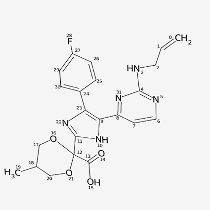 C=CCNc1nccc(-c2[nH]c(C3(C(=O)O)OCC(C)CO3)nc2-c2ccc(F)cc2)n1